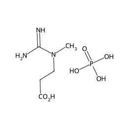 CN(CCC(=O)O)C(=N)N.O=P(O)(O)O